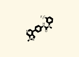 CN(C(=O)Nc1ccc(-c2cncc3c2cnn3C)cc1)c1cccc(C(F)(F)F)c1